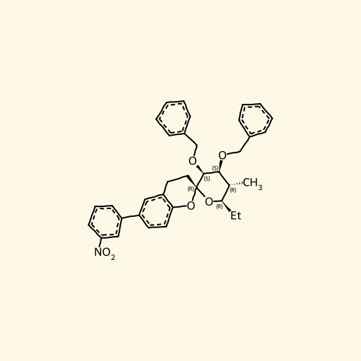 CC[C@H]1O[C@@]2(CCc3cc(-c4cccc([N+](=O)[O-])c4)ccc3O2)[C@@H](OCc2ccccc2)[C@@H](OCc2ccccc2)[C@@H]1C